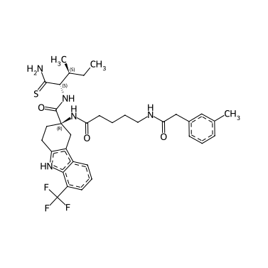 CC[C@H](C)[C@H](NC(=O)[C@@]1(NC(=O)CCCCNC(=O)Cc2cccc(C)c2)CCc2[nH]c3c(C(F)(F)F)cccc3c2C1)C(N)=S